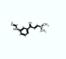 CN(C)C=CC(=O)c1cccc(NC=O)c1